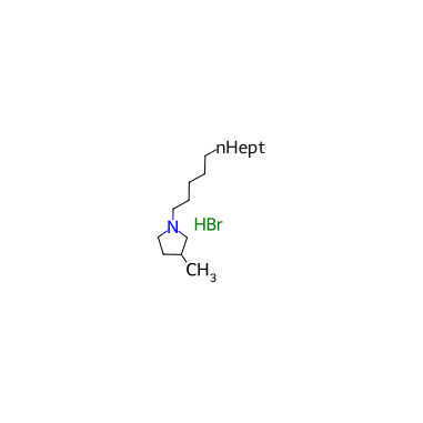 Br.CCCCCCCCCCCCN1CCC(C)C1